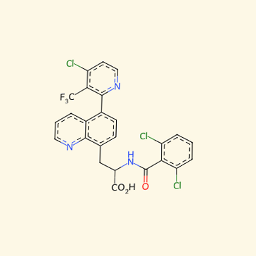 O=C(NC(Cc1ccc(-c2nccc(Cl)c2C(F)(F)F)c2cccnc12)C(=O)O)c1c(Cl)cccc1Cl